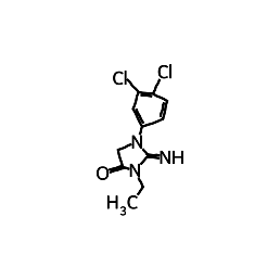 CCN1C(=N)N(c2ccc(Cl)c(Cl)c2)CC1=O